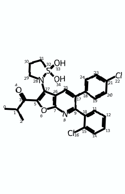 CC(C)C(=O)c1oc2nc(-c3ccccc3Cl)c(-c3ccc(Cl)cc3)cc2c1N1CCCS1(O)O